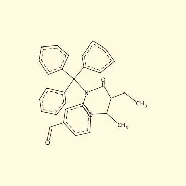 CCC(C(=O)N(C=O)C(c1ccccc1)(c1ccccc1)c1ccccc1)C(C)c1ccc(C=O)cc1